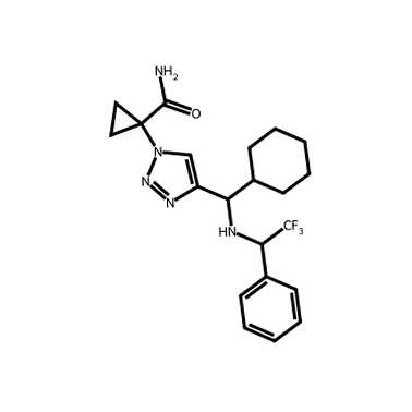 NC(=O)C1(n2cc(C(NC(c3ccccc3)C(F)(F)F)C3CCCCC3)nn2)CC1